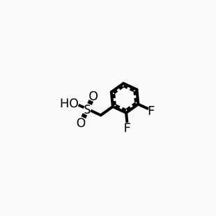 O=S(=O)(O)Cc1cccc(F)c1F